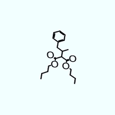 CCCCOC(=O)C(C(=O)OCCCC)C(C)Cc1ccccc1